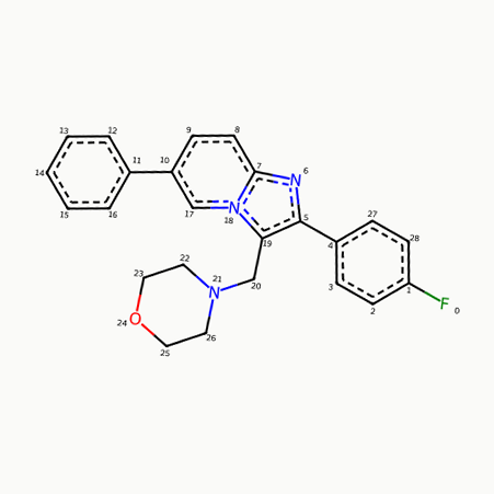 Fc1ccc(-c2nc3ccc(-c4ccccc4)cn3c2CN2CCOCC2)cc1